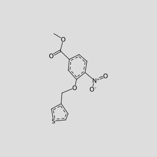 COC(=O)c1ccc([N+](=O)[O-])c(OCc2ccsc2)c1